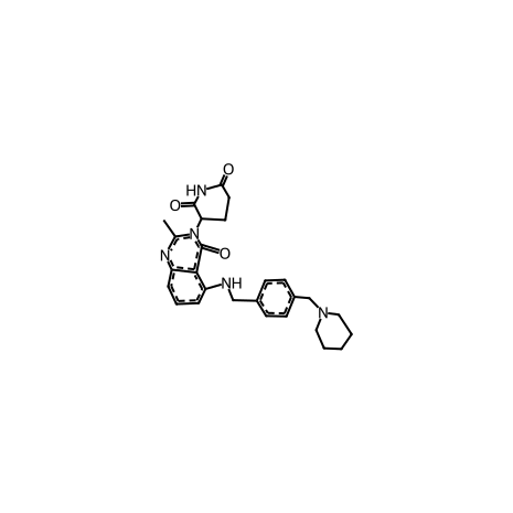 Cc1nc2cccc(NCc3ccc(CN4CCCCC4)cc3)c2c(=O)n1C1CCC(=O)NC1=O